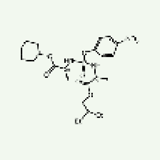 CCC(CC)COC(=O)[C@H](C)NP(=O)(N[C@@H](C)C(=O)OC1CCCCC1)Oc1ccc([N+](=O)[O-])cc1